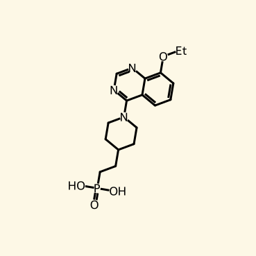 CCOc1cccc2c(N3CCC(CCP(=O)(O)O)CC3)ncnc12